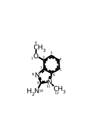 COc1cccc2c1nc(N)n2C